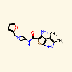 Cc1nnc2sc(C(=O)NC3CN(Cc4ccco4)C3)c(N)c2c1C